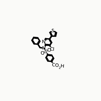 O=C(O)c1ccc(S(=O)(=O)N(Cc2ccccc2)c2ncc(-c3ccsc3)cc2Cl)cc1